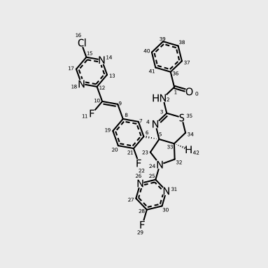 O=C(NC1=N[C@]2(c3cc(/C=C(\F)c4cnc(Cl)cn4)ccc3F)CN(c3ncc(F)cn3)C[C@@H]2CS1)c1ccccc1